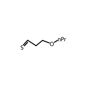 [CH2]CCOCCC=S